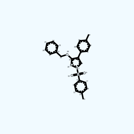 Cc1ccc(-c2cn(S(=O)(=O)c3ccc(C)cc3)nc2OCc2ccccc2)cc1